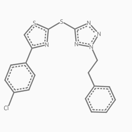 Clc1ccc(-c2csc(Sc3nnn(CCc4ccccc4)n3)n2)cc1